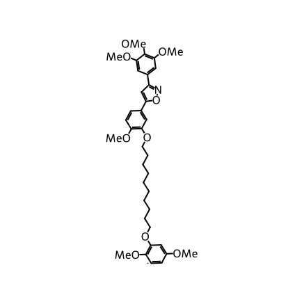 COc1c[c]c(OC)c(OCCCCCCCCCCOc2cc(-c3cc(-c4cc(OC)c(OC)c(OC)c4)no3)ccc2OC)c1